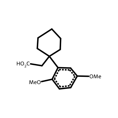 COc1ccc(OC)c(C2(CC(=O)O)CCCCC2)c1